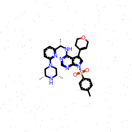 Cc1ccc(S(=O)(=O)n2cc(C3=CCOCC3)c3c(N[C@@H](C)c4cccc(N5C[C@@H](C)N[C@@H](C)C5)n4)ncnc32)cc1